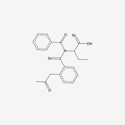 CCC(C(O)=[Se])N(C(=O)c1ccccc1)C(=[Se])c1ccccc1CC(C)=O